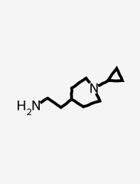 NCCC1CCN(C2CC2)CC1